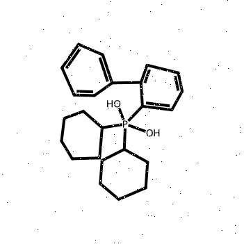 OP(O)(c1ccccc1-c1ccccc1)(C1CCCCC1)C1CCCCC1